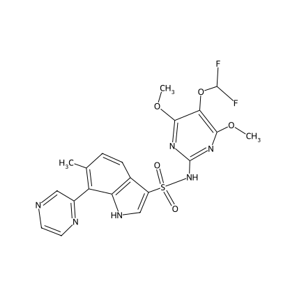 COc1nc(NS(=O)(=O)c2c[nH]c3c(-c4cnccn4)c(C)ccc23)nc(OC)c1OC(F)F